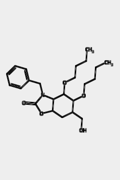 CCCCOC1C(CO)CC2OC(=O)N(Cc3ccccc3)C2C1OCCCC